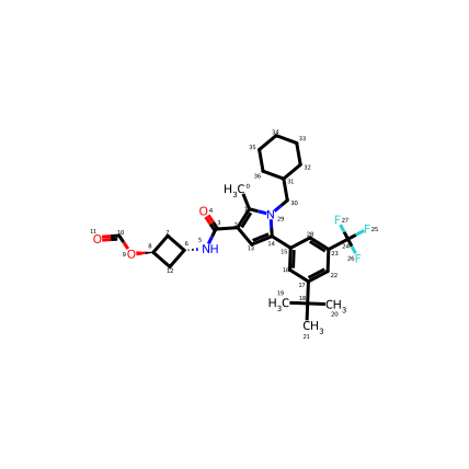 Cc1c(C(=O)N[C@H]2C[C@H](OC=O)C2)cc(-c2cc(C(C)(C)C)cc(C(F)(F)F)c2)n1CC1CCCCC1